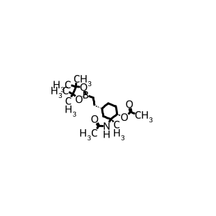 CC(=O)N[C@]1(C)C[C@H](CCB2OC(C)(C)C(C)(C)O2)CC[C@@H]1OC(C)=O